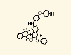 CC1(C)Sc2ccccc2C(=O)C1n1c(=O)c(Oc2ccccc2F)cc2cnc(Nc3ccc(OC4CCNCC4)cc3)nc21